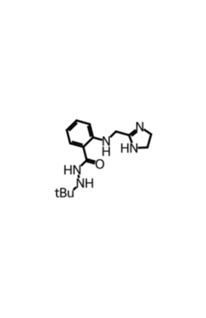 CC(C)(C)NNC(=O)c1ccccc1NCC1=NCCN1